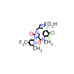 Cc1cc(C(F)(F)F)cc(N2C(=O)N(CC3CN(C(=O)O)C3)CC2C(=O)N(C)c2ccc(F)c(Cl)c2F)n1